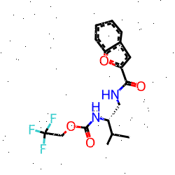 CC(C)[C@@H](CNC(=O)c1cc2ccccc2o1)NC(=O)OCC(F)(F)F